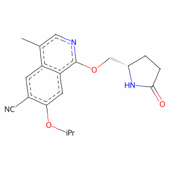 Cc1cnc(OC[C@@H]2CCC(=O)N2)c2cc(OC(C)C)c(C#N)cc12